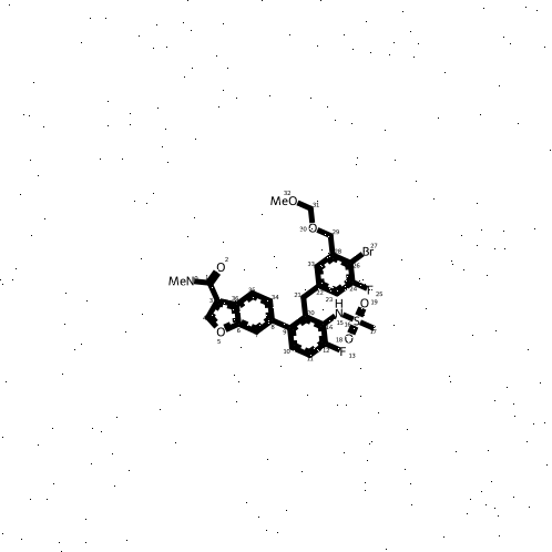 CNC(=O)c1coc2cc(-c3ccc(F)c(NS(C)(=O)=O)c3Cc3cc(F)c(Br)c(COCOC)c3)ccc12